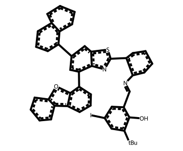 CC(C)(C)c1cc(I)cc(/C=N/c2ccccc2-c2nc3c(-c4cccc5c4oc4ccccc45)cc(-c4cccc5ccccc45)cc3s2)c1O